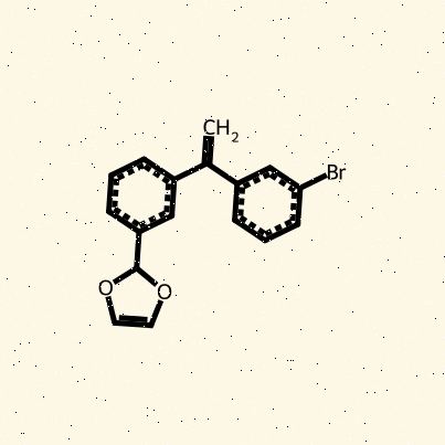 C=C(c1cccc(Br)c1)c1cccc(C2OC=CO2)c1